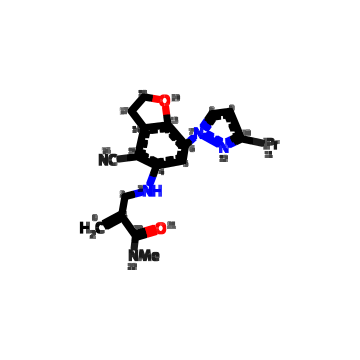 C=C(CNc1cc(-n2ccc(C(C)C)n2)c2c(c1C#N)CCO2)C(=O)NC